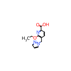 CCOc1nc(C(=O)O)ccc1Cn1cccn1